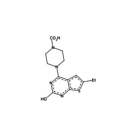 CCc1cc2c(N3CCN(C(=O)O)CC3)nc(O)nc2s1